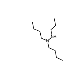 CCCCN(CCCC)NCCC